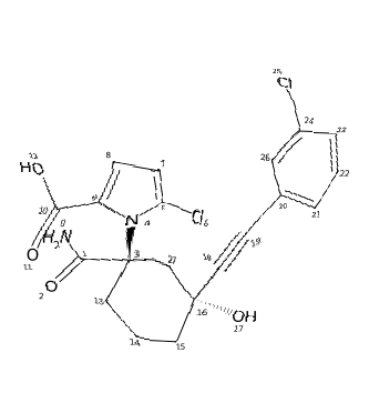 NC(=O)[C@@]1(n2c(Cl)ccc2C(=O)O)CCC[C@](O)(C#Cc2cccc(Cl)c2)C1